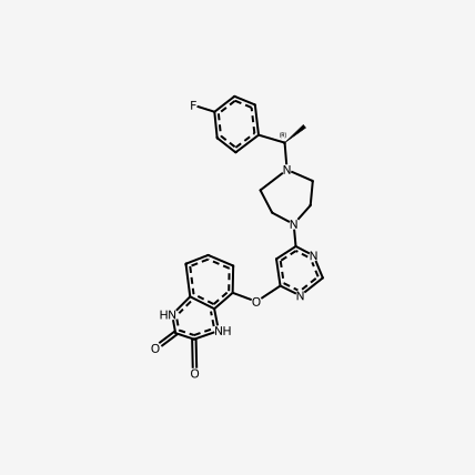 C[C@H](c1ccc(F)cc1)N1CCN(c2cc(Oc3cccc4[nH]c(=O)c(=O)[nH]c34)ncn2)CC1